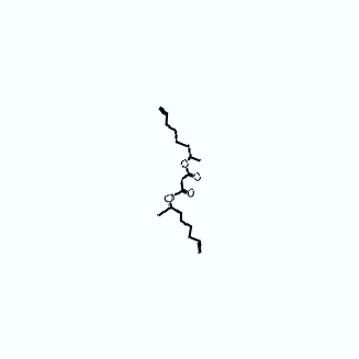 C=CCCCCC(C)OC(=O)CC(=O)OC(C)CCCCC=C